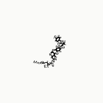 CCN(CCOC)C(=O)COc1cc2nccc(Oc3ccc(NC(=O)C4(C(=O)Nc5ccc(F)cc5)CC4)cc3F)c2cn1